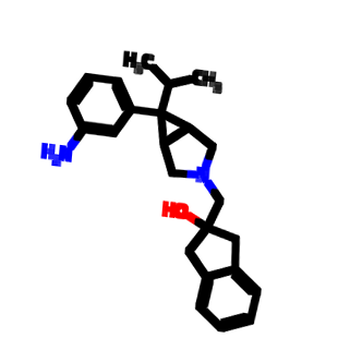 CC(C)C1(c2cccc(N)c2)C2CN(CC3(O)Cc4ccccc4C3)CC21